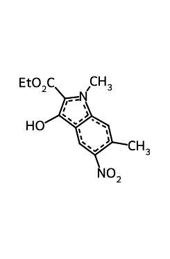 CCOC(=O)c1c(O)c2cc([N+](=O)[O-])c(C)cc2n1C